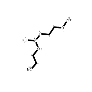 CCCOCCOP(C)OCCC#N